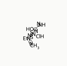 CCN(c1nc2sc(-c3ncc(-c4cn[nH]c4)cc3O)nc2s1)C1CCN(C)CC1.Cl